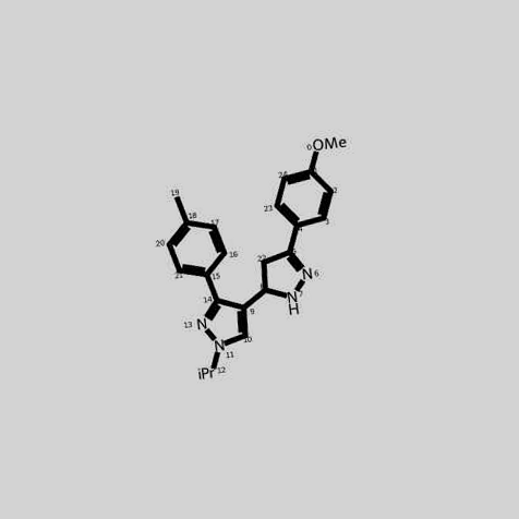 COc1ccc(C2=NNC(c3cn(C(C)C)nc3-c3ccc(C)cc3)C2)cc1